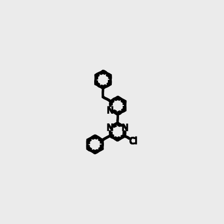 Clc1cc(-c2ccccc2)nc(-c2cccc(Cc3ccccc3)n2)n1